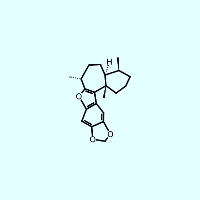 C[C@@H]1CC[C@H]2[C@@H](C)CCC[C@]2(C)c2c1oc1cc3c(cc21)OCO3